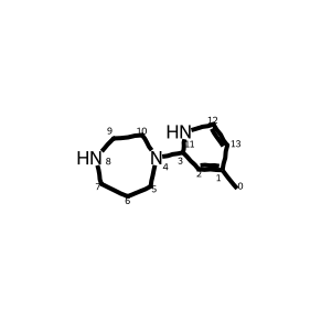 CC1=CC(N2CCCNCC2)NC=C1